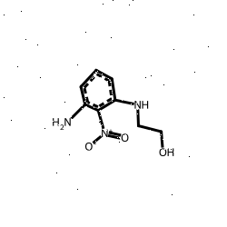 Nc1cccc(NCCO)c1[N+](=O)[O-]